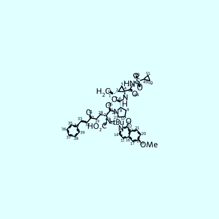 C=C[C@@H]1C[C@]1(NC(=O)[C@@H]1C[C@@H](Oc2nccc3cc(OC)ccc23)CN1C(=O)[C@H](CCC(=O)C=Cc1ccccc1)N(C(=O)O)C(C)(C)C)C(=O)NS(=O)(=O)C1CC1